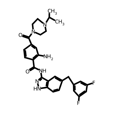 CC(C)N1CCN(C(=O)c2ccc(C(=O)Nc3n[nH]c4ccc(Cc5cc(F)cc(F)c5)cc34)c(N)c2)CC1